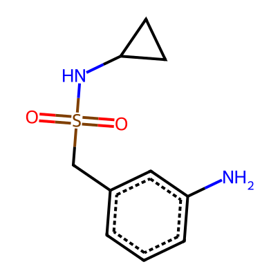 Nc1cccc(CS(=O)(=O)NC2CC2)c1